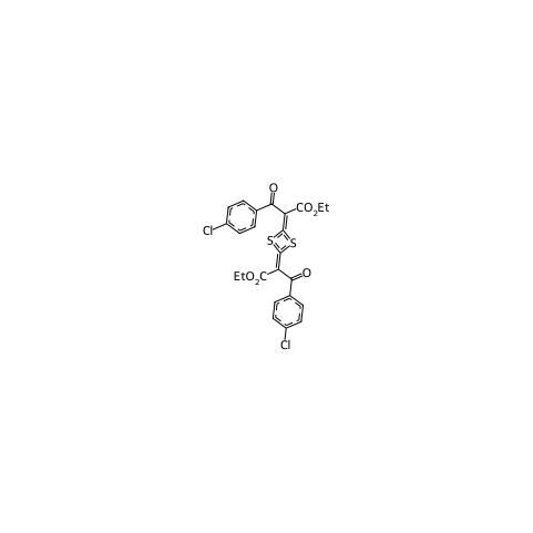 CCOC(=O)C(C(=O)c1ccc(Cl)cc1)=c1sc(=C(C(=O)OCC)C(=O)c2ccc(Cl)cc2)s1